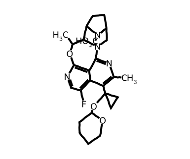 Cc1nc2c3c(ncc(F)c3c1C1(OC3CCCCO3)CC1)OC(C)C1C3CCC(CN21)N3C(=O)O